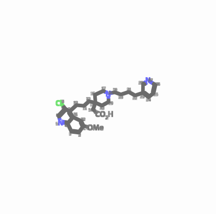 COc1ccc2ncc(Cl)c(CCCC3(CC(=O)O)CCN(CCCCc4cccnc4)CC3)c2c1